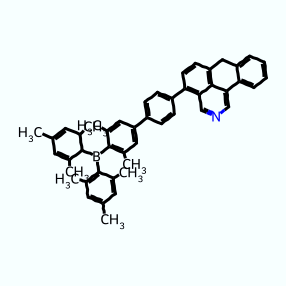 CC1=CC(C)C(B(c2c(C)cc(C)cc2C)c2c(C)cc(-c3ccc(-c4ccc5c6c(cncc46)-c4ccccc4C5)cc3)cc2C)C(C)=C1